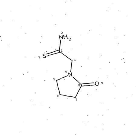 NC(=S)CN1CCCC1=O